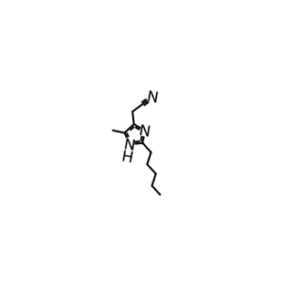 CCCCCc1nc(CC#N)c(C)[nH]1